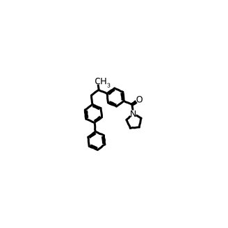 CC(Cc1ccc(-c2ccccc2)cc1)c1ccc(C(=O)N2CCCC2)cc1